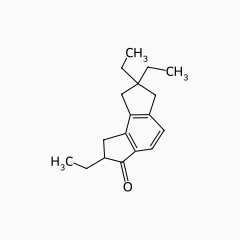 CCC1Cc2c(ccc3c2CC(CC)(CC)C3)C1=O